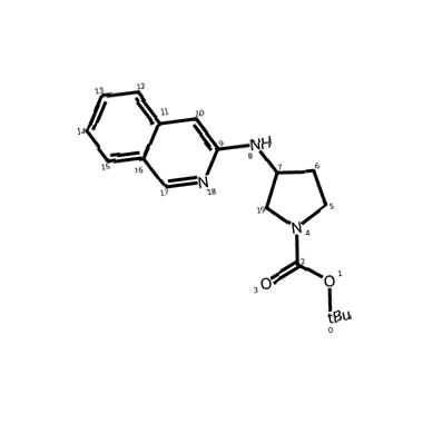 CC(C)(C)OC(=O)N1CCC(Nc2cc3ccccc3cn2)C1